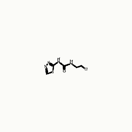 O=C(NCCCl)Nc1nncs1